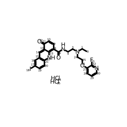 CCN(CCNC(=O)c1ccc(=O)c2cc3cc(I)ccc3[nH]c1-2)CCOc1cccnc1F.Cl.Cl